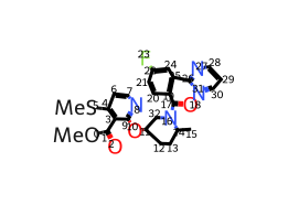 COC(=O)c1c(SC)ccnc1OC1CCC(C)N(C(=O)c2ccc(F)cc2-c2ncccn2)C1